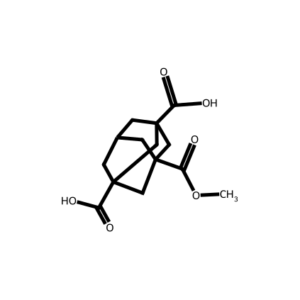 COC(=O)C12CC3CC(C(=O)O)(CC(C(=O)O)(C3)C1)C2